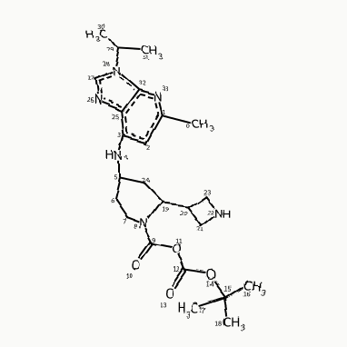 Cc1cc(NC2CCN(C(=O)OC(=O)OC(C)(C)C)C(C3CNC3)C2)c2ncn(C(C)C)c2n1